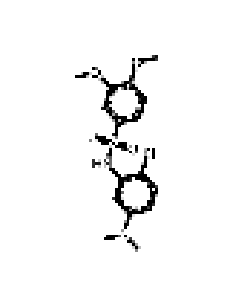 COc1ccc(S(=O)(=O)Nc2cc(N(C)C)ccc2Cl)cc1OC